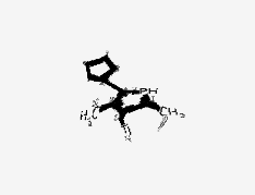 Cc1[pH]c(C2=CC=CC2)c(C)[c]1[Ti]